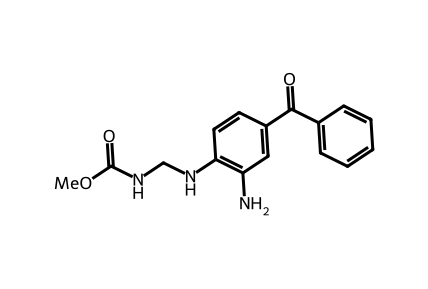 COC(=O)NCNc1ccc(C(=O)c2ccccc2)cc1N